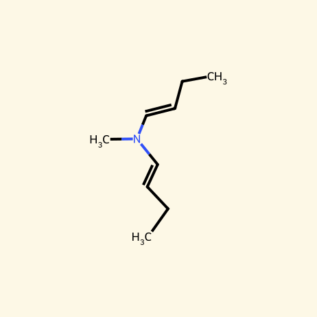 CC/C=C/N(C)/C=C/CC